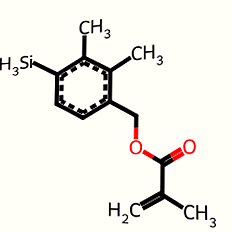 C=C(C)C(=O)OCc1ccc([SiH3])c(C)c1C